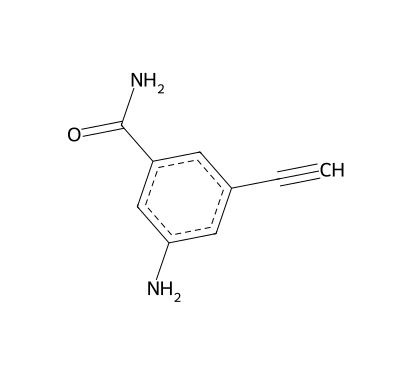 C#Cc1cc(N)cc(C(N)=O)c1